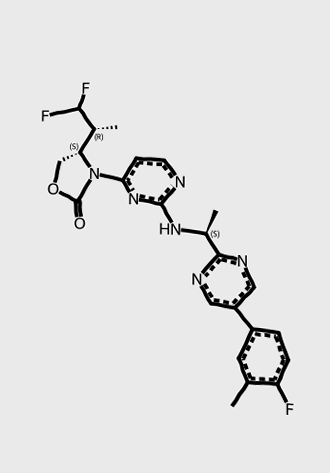 Cc1cc(-c2cnc([C@H](C)Nc3nccc(N4C(=O)OC[C@@H]4[C@@H](C)C(F)F)n3)nc2)ccc1F